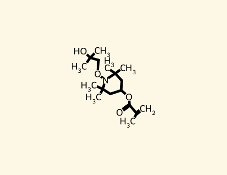 C=C(C)C(=O)OC1CC(C)(C)N(OCC(C)(C)O)C(C)(C)C1